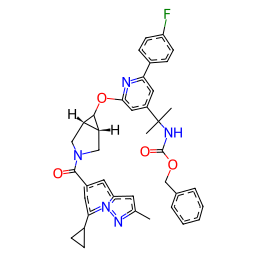 Cc1cc2cc(C(=O)N3C[C@@H]4C(Oc5cc(C(C)(C)NC(=O)OCc6ccccc6)cc(-c6ccc(F)cc6)n5)[C@@H]4C3)cc(C3CC3)n2n1